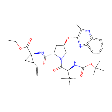 C=C[C@@H]1C[C@]1(NC(=O)[C@@H]1C[C@@H](Oc2nc3ccccc3nc2C)CN1C(=O)[C@@H](NC(=O)OC(C)(C)C)C(C)(C)C)C(=O)OCC